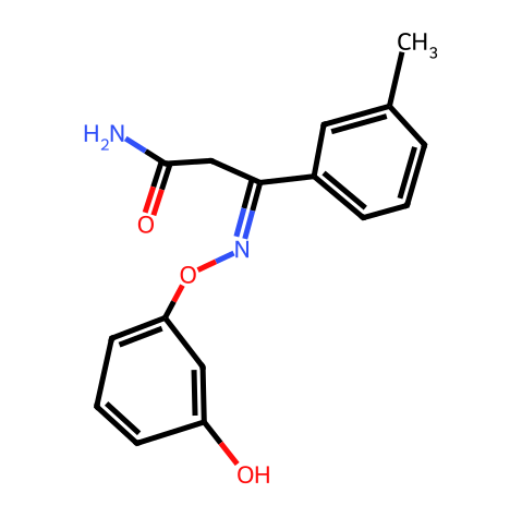 Cc1cccc(/C(CC(N)=O)=N/Oc2cccc(O)c2)c1